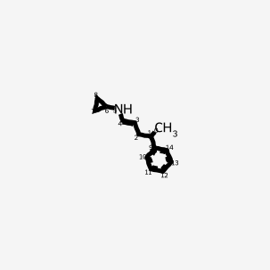 CC(CC=CNC1CC1)c1ccccc1